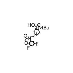 CC(C)(C)N(C(=O)O)C1CCN(CCN2C(=O)COc3c(F)cc(F)cc32)CC1